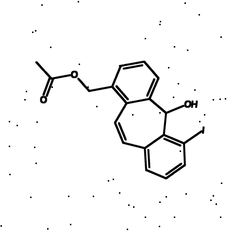 CC(=O)OCc1cccc2c1C=Cc1cccc(I)c1C2O